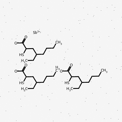 CCCCC(CC)CC(S)C(=O)[O-].CCCCC(CC)CC(S)C(=O)[O-].CCCCC(CC)CC(S)C(=O)[O-].[Sb+3]